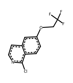 FC(F)(F)COc1ccc2c(Cl)nccc2c1